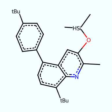 Cc1nc2c(C(C)(C)C)ccc(-c3ccc(C(C)(C)C)cc3)c2cc1O[SiH](C)C